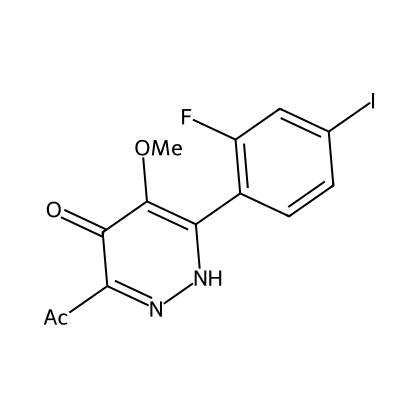 COc1c(-c2ccc(I)cc2F)[nH]nc(C(C)=O)c1=O